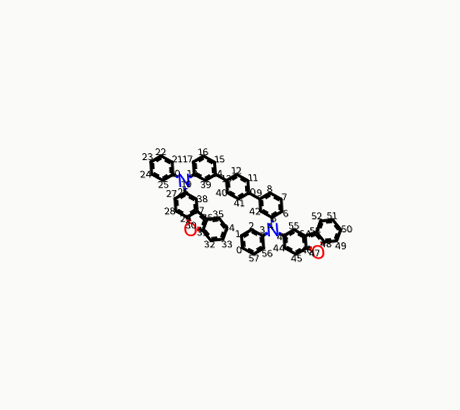 c1ccc(N(c2cccc(-c3ccc(-c4cccc(N(c5ccccc5)c5ccc6oc7ccccc7c6c5)c4)cc3)c2)c2ccc3oc4ccccc4c3c2)cc1